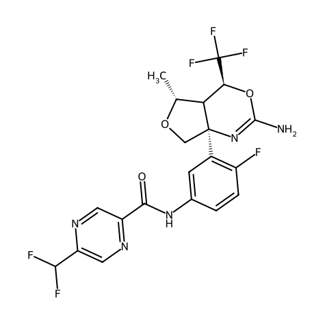 C[C@H]1OC[C@]2(c3cc(NC(=O)c4cnc(C(F)F)cn4)ccc3F)N=C(N)O[C@H](C(F)(F)F)C12